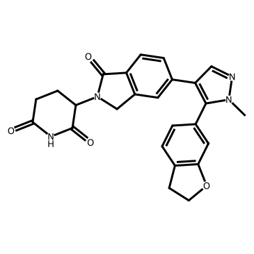 Cn1ncc(-c2ccc3c(c2)CN(C2CCC(=O)NC2=O)C3=O)c1-c1ccc2c(c1)OCC2